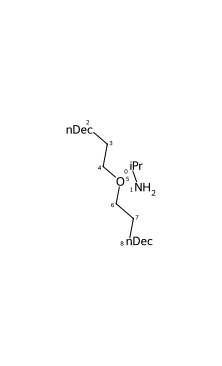 CC(C)N.CCCCCCCCCCCCOCCCCCCCCCCCC